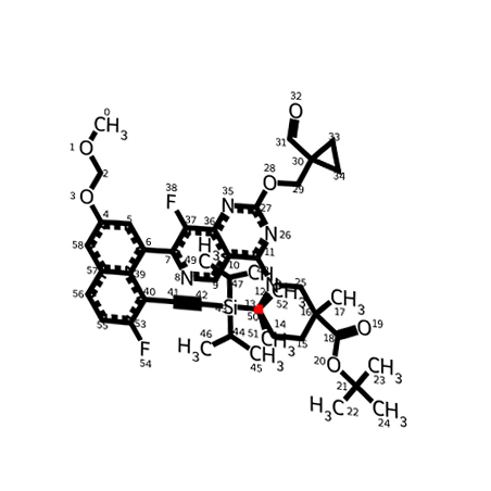 COCOc1cc(-c2ncc3c(N4CCCC(C)(C(=O)OC(C)(C)C)C4)nc(OCC4(C=O)CC4)nc3c2F)c2c(C#C[Si](C(C)C)(C(C)C)C(C)C)c(F)ccc2c1